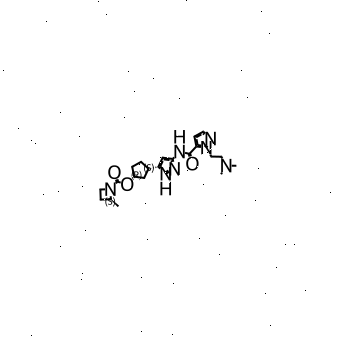 C[C@H]1CCN1C(=O)O[C@@H]1CC[C@H](c2cc(NC(=O)c3ccnn3CCN(C)C)n[nH]2)C1